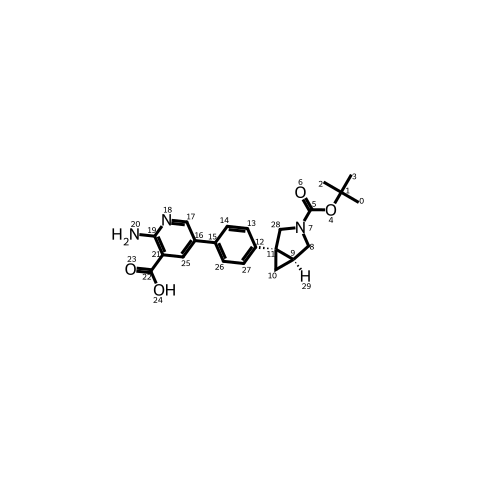 CC(C)(C)OC(=O)N1C[C@H]2C[C@@]2(c2ccc(-c3cnc(N)c(C(=O)O)c3)cc2)C1